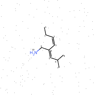 CC/C=C\C(=C/C(C)C)CN